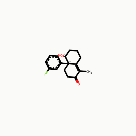 CC1=C2CCC[C@H](O)[C@@]2(c2cccc(F)c2)CCC1=O